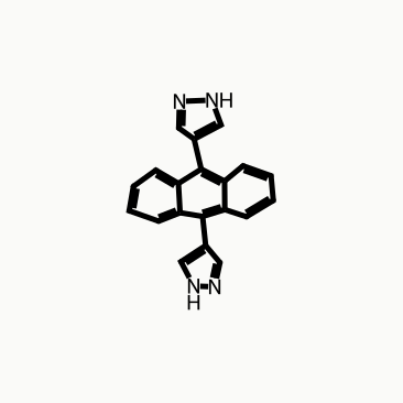 c1ccc2c(-c3cn[nH]c3)c3ccccc3c(-c3cn[nH]c3)c2c1